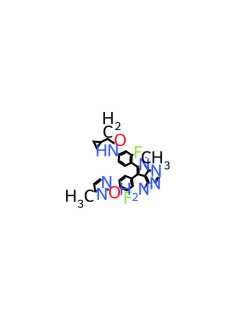 C=C(C(=O)Nc1ccc(-c2c(-c3ccc(Oc4nccc(C)n4)c(F)c3)c3c(N)ncnc3n2C)c(F)c1)C1CC1